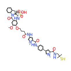 COc1cc2c(cc1OCCCC(=O)Nc1cc(C(=O)Nc3ccc(-c4cc(C(=O)NCC(C)(C)S)n(C)c4)cc3)n(C)c1)NC(S(=O)(=O)O)[C@@H]1Cc3ccccc3N1C2=O